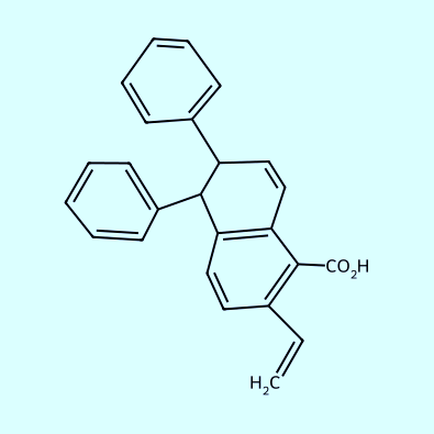 C=Cc1ccc2c(c1C(=O)O)C=CC(c1ccccc1)C2c1ccccc1